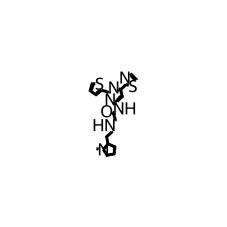 CN1CCCC1CCNCC(=O)Nc1cc(-c2nccs2)nc(-c2cccs2)n1